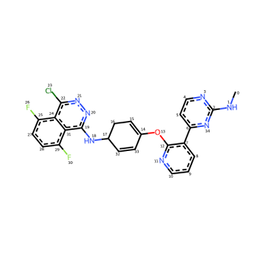 CNc1nccc(-c2cccnc2OC2=CCC(Nc3nnc(Cl)c4c(F)ccc(F)c34)C=C2)n1